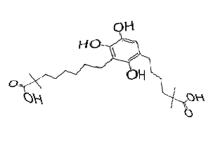 CC(C)(CCCCCCc1c(O)c(O)cc(CCCCC(C)(C)C(=O)O)c1O)C(=O)O